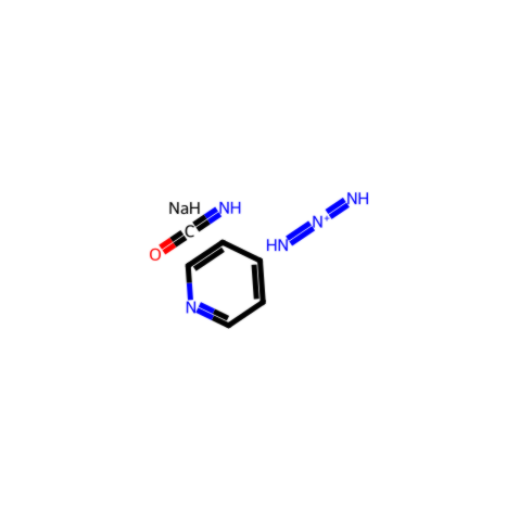 N=C=O.N=[N+]=N.[NaH].c1ccncc1